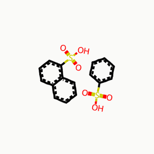 O=S(=O)(O)c1cccc2ccccc12.O=S(=O)(O)c1ccccc1